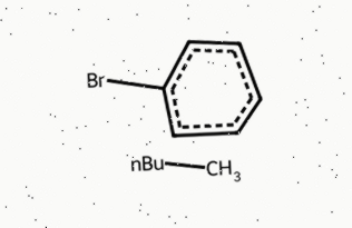 Brc1ccccc1.CCCCC